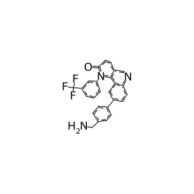 NCc1ccc(-c2ccc3ncc4ccc(=O)n(-c5cccc(C(F)(F)F)c5)c4c3c2)cc1